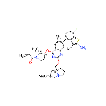 C=CC(=O)N1CC[C@@H](Oc2nc(OC[C@@]34CCCN3C[C@H](OC)C4)nc3cc(-c4ccc(F)c5sc(N)c(C#N)c45)c(C(F)(F)F)cc23)[C@H]1C